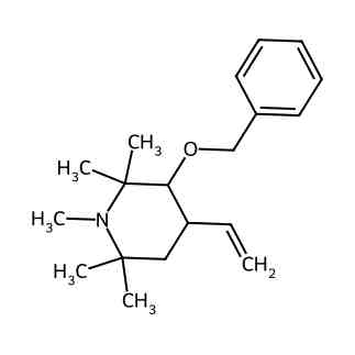 C=CC1CC(C)(C)N(C)C(C)(C)C1OCc1ccccc1